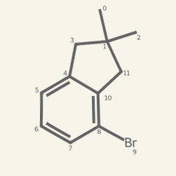 CC1(C)Cc2cccc(Br)c2C1